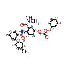 CN(C)C(=O)c1cc(OCC(=O)OCc2ccccc2)ccc1NC(=O)c1ccccc1-c1ccc(C(F)(F)F)cc1